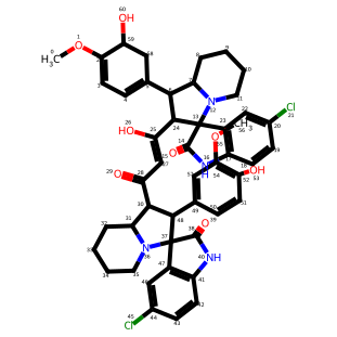 COC1=CC=C(C2C3CCCCN3C3(C(=O)Nc4ccc(Cl)cc43)C2/C(O)=C/C(=O)C2C3CCCCN3C3(C(=O)Nc4ccc(Cl)cc43)C2c2ccc(O)c(OC)c2)CC1O